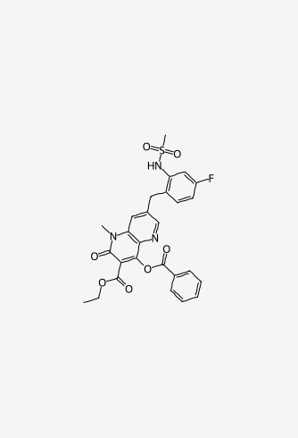 CCOC(=O)c1c(OC(=O)c2ccccc2)c2ncc(Cc3ccc(F)cc3NS(C)(=O)=O)cc2n(C)c1=O